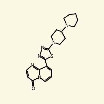 O=c1ccnc2c(-c3nnc(N4CCC(N5CCCCC5)CC4)s3)cccn12